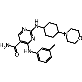 Cc1cccc(Nc2nc(NC3CCC(N4CCOCC4)CC3)ncc2C(N)=O)c1